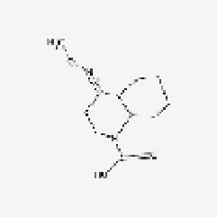 CO/N=C1\CCN(C(=O)O)C2CCCCC12